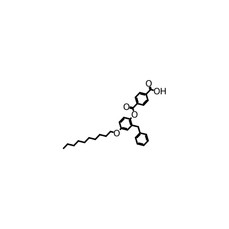 CCCCCCCCCCOc1ccc(OC(=O)c2ccc(C(=O)O)cc2)c(Cc2ccccc2)c1